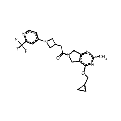 Cc1nc2c(c(OCC3CC3)n1)CN(C(=O)CC1CN(c3ccnc(C(F)(F)F)c3)C1)C2